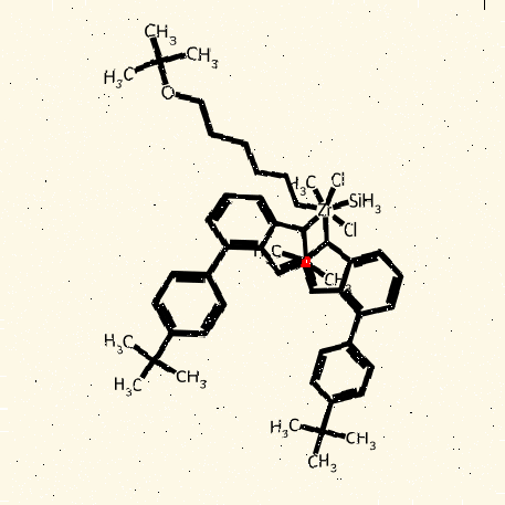 CC1=Cc2c(-c3ccc(C(C)(C)C)cc3)cccc2[CH]1[Zr]([CH3])([SiH3])([Cl])([Cl])([CH2]CCCCCOC(C)(C)C)[CH]1C(C)=Cc2c(-c3ccc(C(C)(C)C)cc3)cccc21